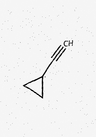 C#C[C]1CC1